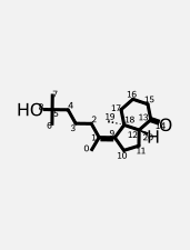 C/C(CCCC(C)(C)O)=C1\CC[C@H]2C(=O)CCC[C@]12C